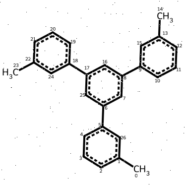 Cc1cccc(-c2cc(-c3cccc(C)c3)cc(-c3cccc(C)c3)c2)c1